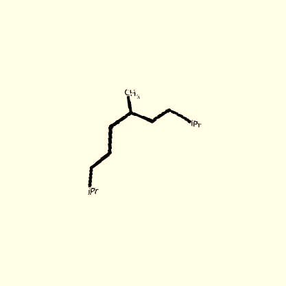 [CH2]C(C)CCCC(C)CCC(C)C